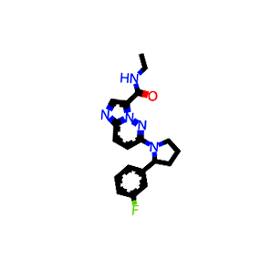 CCNC(=O)c1cnc2ccc(N3CCCC3c3cccc(F)c3)nn12